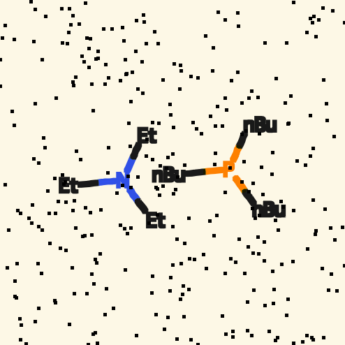 CCCCP(CCCC)CCCC.CCN(CC)CC